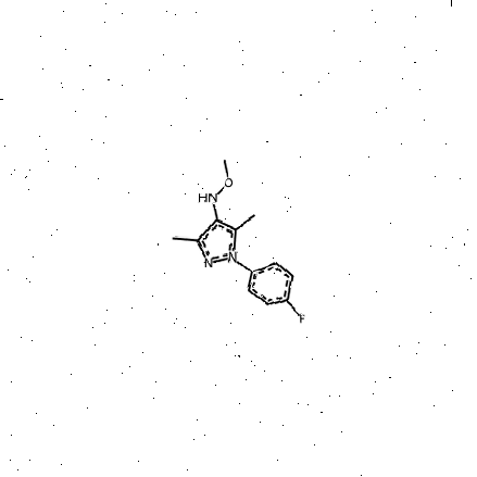 CONc1c(C)nn(-c2ccc(F)cc2)c1C